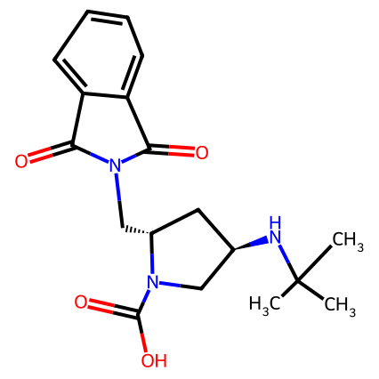 CC(C)(C)N[C@@H]1C[C@@H](CN2C(=O)c3ccccc3C2=O)N(C(=O)O)C1